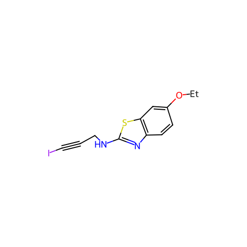 CCOc1ccc2nc(NCC#CI)sc2c1